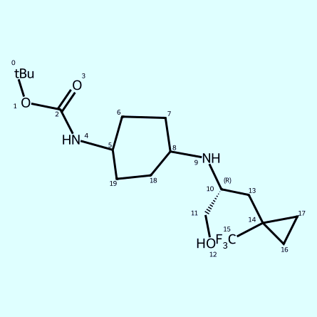 CC(C)(C)OC(=O)NC1CCC(N[C@@H](CO)CC2(C(F)(F)F)CC2)CC1